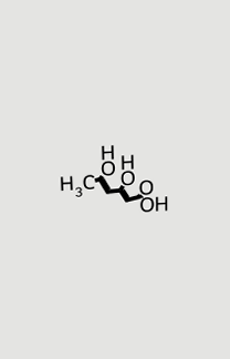 CC(O)=CC(O)=CC(=O)O